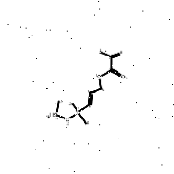 C=C(C)C(=O)OCC=C[Si](C)(C)O[SiH](C)C